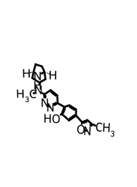 Cc1cc(-c2ccc(-c3ccc(N(C)[C@H]4C[C@H]5CC[C@@H](C4)N5)nn3)c(O)c2)on1